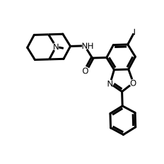 CN1C2CCCC1CC(NC(=O)c1cc(I)cc3oc(-c4ccccc4)nc13)C2